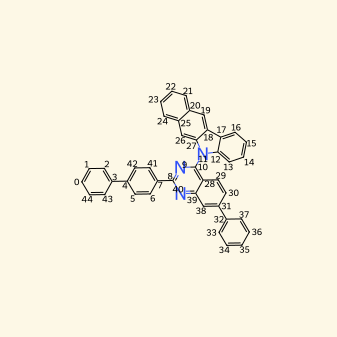 c1ccc(-c2ccc(-c3nc(-n4c5ccccc5c5cc6ccccc6cc54)c4ccc(-c5ccccc5)cc4n3)cc2)cc1